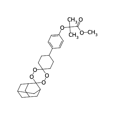 COC(=O)C(C)(C)Oc1ccc(C2CCC3(CC2)OOC2(OO3)C3CC4CC(C3)CC2C4)cc1